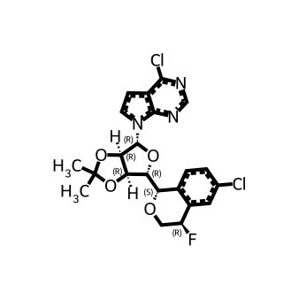 CC1(C)O[C@H]2[C@@H](O1)[C@H](n1ccc3c(Cl)ncnc31)O[C@@H]2[C@H]1OC[C@H](F)c2cc(Cl)ccc21